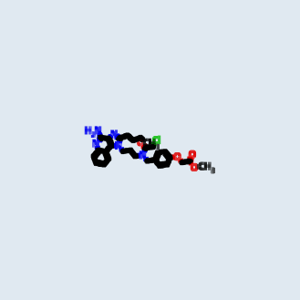 CCCCc1nc2c(N)nc3ccccc3c2n1CCCN(Cc1ccc(OCC(=O)OC)cc1)C(=O)CCl